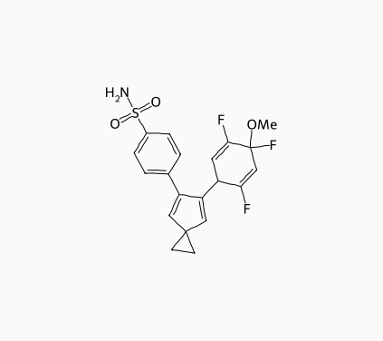 COC1(F)C=C(F)C(C2=CC3(C=C2c2ccc(S(N)(=O)=O)cc2)CC3)C=C1F